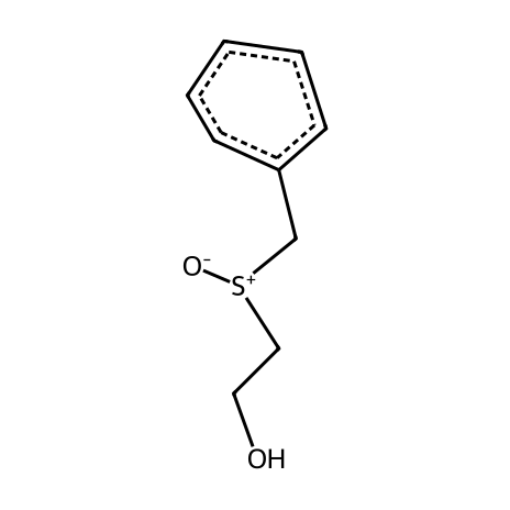 [O-][S+](CCO)Cc1ccccc1